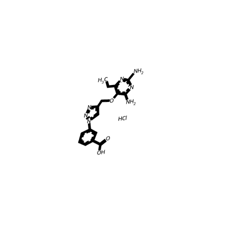 CCc1nc(N)nc(N)c1OCc1cn(-c2cccc(C(=O)O)c2)nn1.Cl